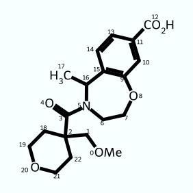 COCC1(C(=O)N2CCOc3cc(C(=O)O)ccc3C2C)CCOCC1